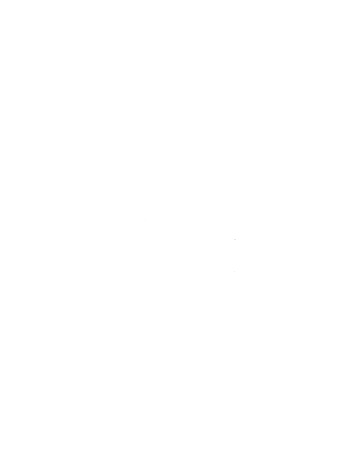 Cc1ccc(OCc2ccccc2)cc1C(=O)OC(C)F